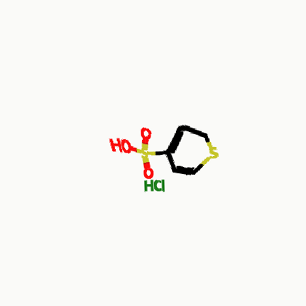 Cl.O=S(=O)(O)C1=CCSC=C1